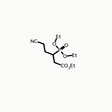 CCOC(=O)CC(CCC#N)P(=O)(OCC)OCC